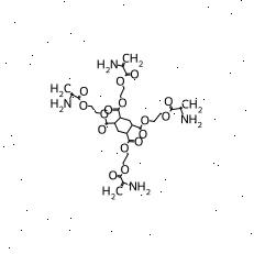 C=C(N)C(=O)OCCOC(=O)C1CC(C(=O)OCCOC(=O)C(=C)N)C(C(=O)OCCOC(=O)C(=C)N)CC1C(=O)OCCOC(=O)C(=C)N